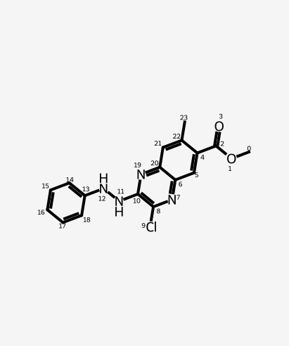 COC(=O)c1cc2nc(Cl)c(NNc3ccccc3)nc2cc1C